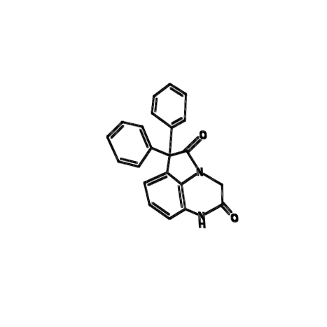 O=C1CN2C(=O)C(c3ccccc3)(c3ccccc3)c3cccc(c32)N1